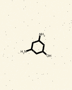 NC1CC(N)CC(O)C1